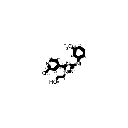 OCCn1nc(Nc2cccc(C(F)(F)F)c2)nc1-c1ccnc(Cl)c1